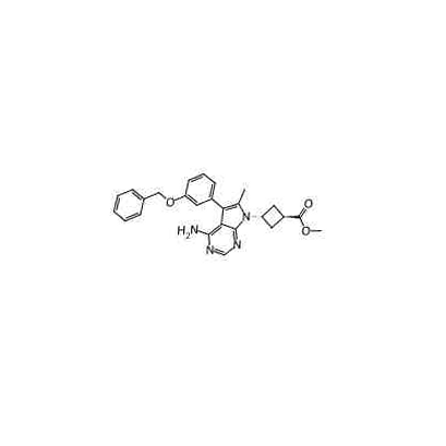 COC(=O)[C@H]1C[C@H](n2c(C)c(-c3cccc(OCc4ccccc4)c3)c3c(N)ncnc32)C1